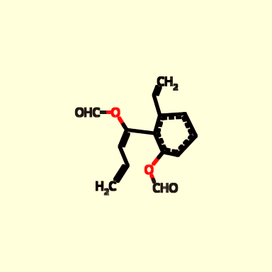 C=C/C=C(/OC=O)c1c(C=C)cccc1OC=O